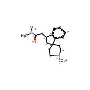 CN(C)C(=O)CC1CC2(CCN(C(=O)O)CC2)c2ccccc21